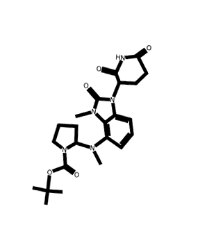 CN(c1cccc2c1n(C)c(=O)n2C1CCC(=O)NC1=O)C1CCCN1C(=O)OC(C)(C)C